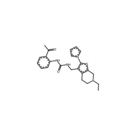 CCN1CCc2c(sc(-n3cccc3)c2CNC(=O)Nc2ccccc2C(C)=O)C1